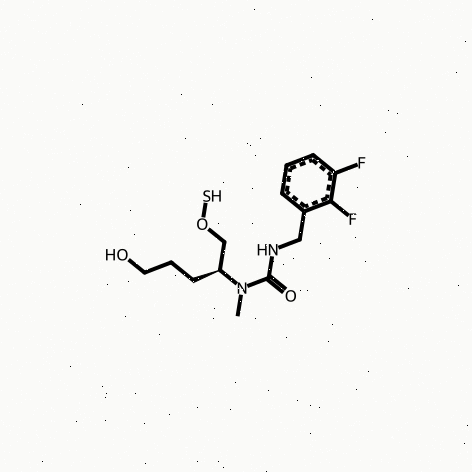 CN(C(=O)NCc1cccc(F)c1F)[C@@H](CCCO)COS